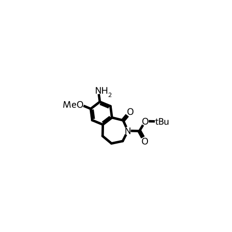 COc1cc2c(cc1N)C(=O)N(C(=O)OC(C)(C)C)CCC2